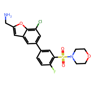 NCc1cc2cc(-c3ccc(F)c(S(=O)(=O)N4CCOCC4)c3)cc(Cl)c2o1